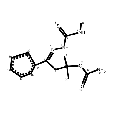 CNC(=S)NN=C(CC(C)(C)OC(N)=O)c1ccccc1